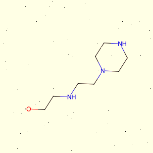 [O]CCNCCN1CCNCC1